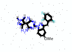 COc1ccc2c(c1)c(Cc1c(F)ccc(F)c1F)nn2-c1nc(N)c(-c2c(C)nn(C)c2C)c(N)n1